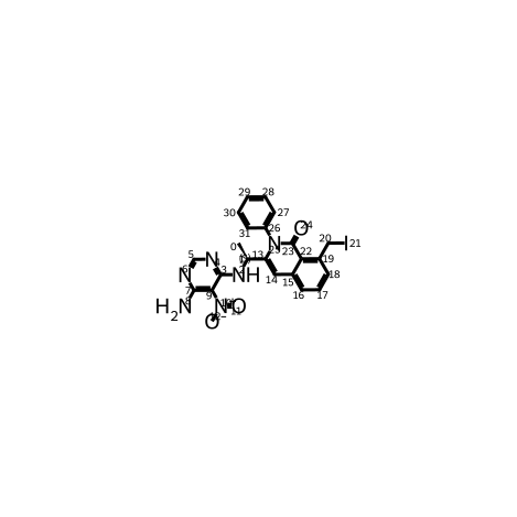 C[C@H](Nc1ncnc(N)c1[N+](=O)[O-])c1cc2cccc(CI)c2c(=O)n1-c1ccccc1